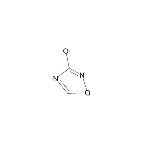 [O]c1ncon1